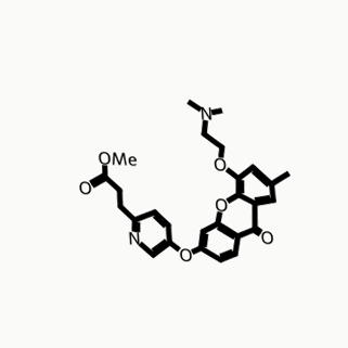 COC(=O)CCc1ccc(Oc2ccc3c(=O)c4cc(C)cc(OCCN(C)C)c4oc3c2)cn1